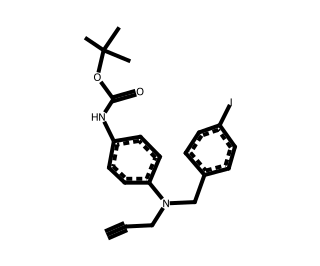 C#CCN(Cc1ccc(I)cc1)c1ccc(NC(=O)OC(C)(C)C)cc1